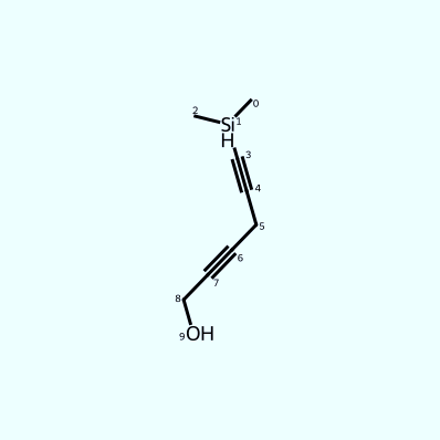 C[SiH](C)C#CCC#CCO